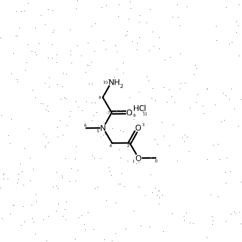 COC(=O)CN(C)C(=O)CN.Cl